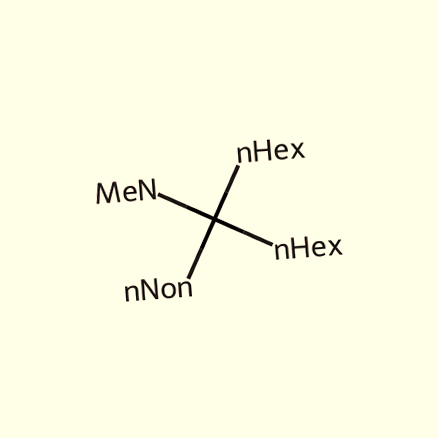 CCCCCCCCCC(CCCCCC)(CCCCCC)NC